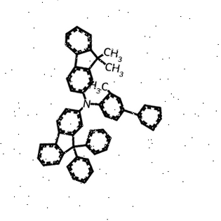 Cc1cc(-c2ccccc2)ccc1N(c1ccc2c(c1)C(C)(C)c1ccccc1-2)c1ccc2c(c1)C(c1ccccc1)(c1ccccc1)c1ccccc1-2